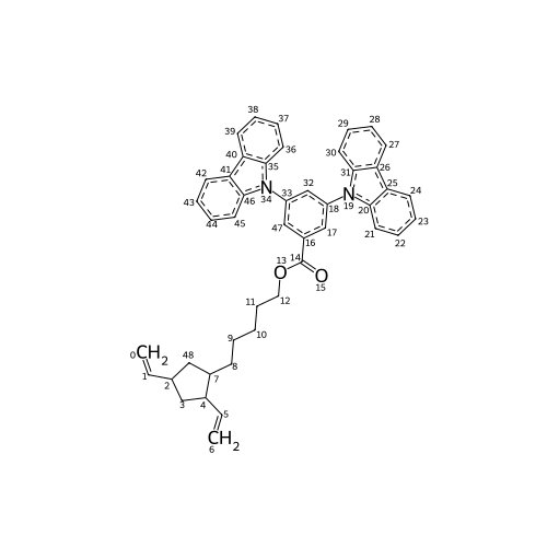 C=CC1CC(C=C)C(CCCCCOC(=O)c2cc(-n3c4ccccc4c4ccccc43)cc(-n3c4ccccc4c4ccccc43)c2)C1